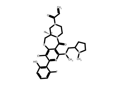 C=CC(=O)N1CCN2C(=O)c3c(N(C)CC4CCCN4C)nc(-c4c(O)cccc4F)c(Cl)c3OC[C@H]2C1